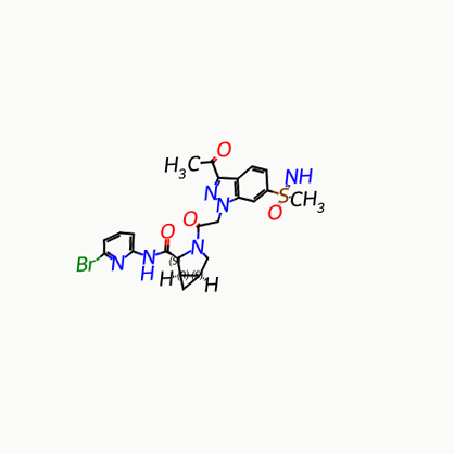 CC(=O)c1nn(CC(=O)N2C[C@H]3C[C@H]3[C@H]2C(=O)Nc2cccc(Br)n2)c2cc(S(C)(=N)=O)ccc12